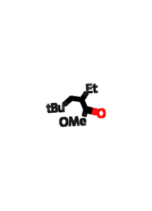 CCC(CC(C)(C)C)C(=O)OC